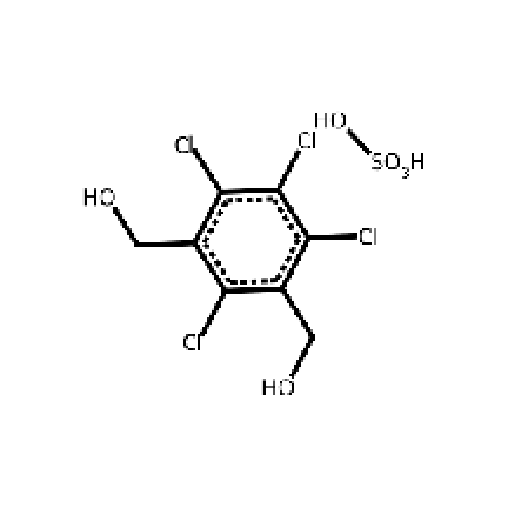 O=S(=O)(O)O.OCc1c(Cl)c(Cl)c(Cl)c(CO)c1Cl